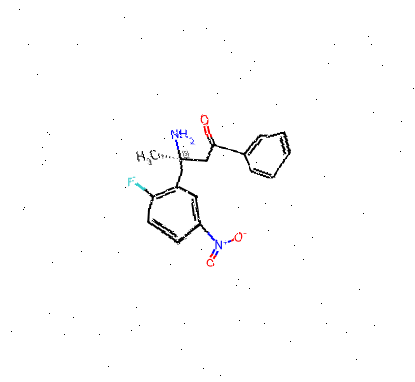 C[C@](N)(CC(=O)c1ccccc1)c1cc([N+](=O)[O-])ccc1F